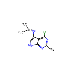 C[SiH](C)Nc1c[nH]c2nc(C(C)(C)C)nc(Cl)c12